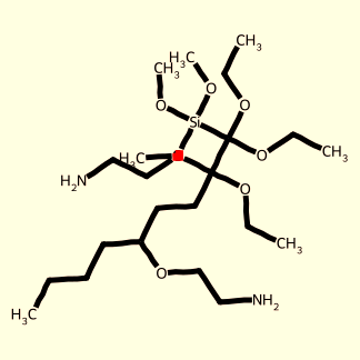 CCCCC(CCC(OCC)(OCCN)C(OCC)(OCC)[Si](OC)(OC)OC)OCCN